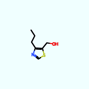 CCCc1ncsc1CO